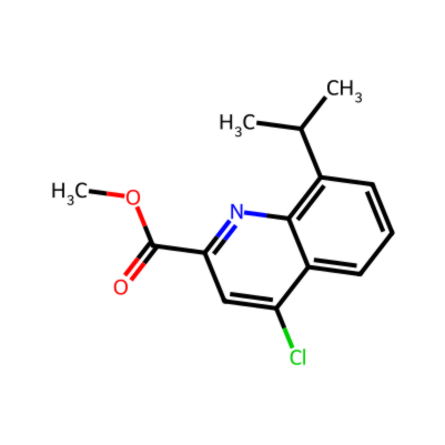 COC(=O)c1cc(Cl)c2cccc(C(C)C)c2n1